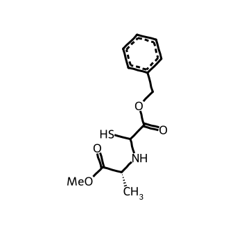 COC(=O)[C@@H](C)NC(S)C(=O)OCc1ccccc1